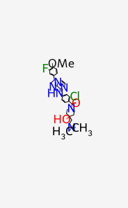 COc1ccc(C2CN=C3C(Nc4ccc(C(=O)N5CCC(O)(CCN(C)C)CC5)c(Cl)c4)=NC=CN32)cc1F